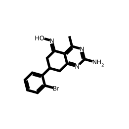 Cc1nc(N)nc2c1C(=NO)CC(c1ccccc1Br)C2